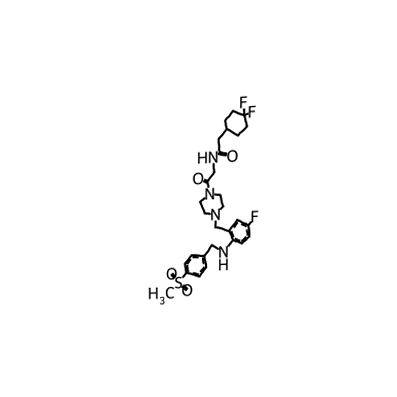 CS(=O)(=O)c1ccc(CNc2ccc(F)cc2CN2CCN(C(=O)CNC(=O)CC3CCC(F)(F)CC3)CC2)cc1